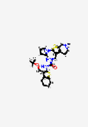 CN1CCc2c(sc(-n3cccc3)c2CNC(=O)Nc2sc3c(c2COC(C)(C)C)CCCC3)C1